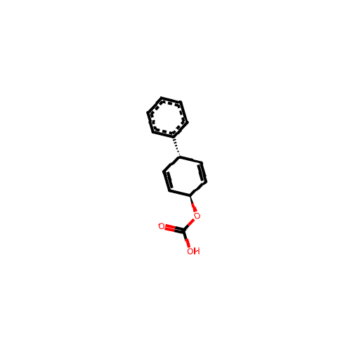 O=C(O)O[C@H]1C=C[C@H](c2ccccc2)C=C1